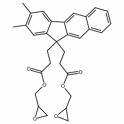 Cc1cc2c(cc1C)C(CCC(=O)OCC1CO1)(CCC(=O)OCC1CO1)c1cc3ccccc3cc1-2